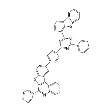 c1ccc(-c2nc3ccccc3c3c2sc2ccc(-c4ccc(C5=NC(c6ccccc6)NC(c6cccc7c6sc6ccccc67)=N5)cc4)cc23)cc1